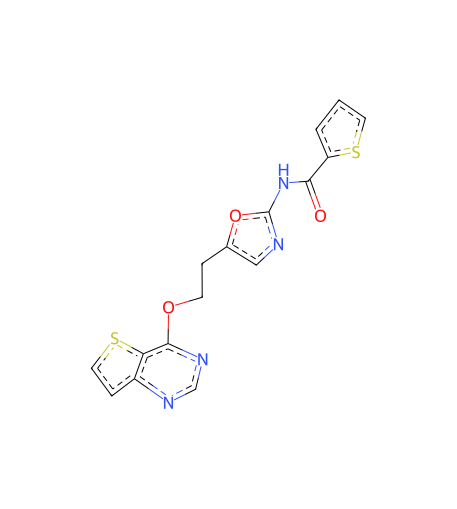 O=C(Nc1ncc(CCOc2ncnc3ccsc23)o1)c1cccs1